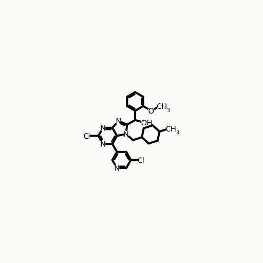 COc1ccccc1C(O)c1nc2nc(Cl)nc(-c3cncc(Cl)c3)c2n1CC1CCC(C)CC1